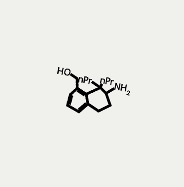 CCCC1(CCC)c2c(CO)cccc2CCC1N